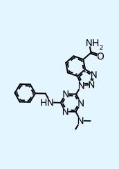 CN(C)c1nc(NCc2ccccc2)nc(-n2nnc3c(C(N)=O)cccc32)n1